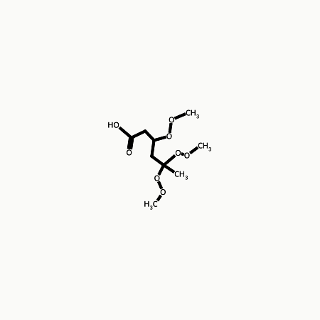 COOC(CC(=O)O)CC(C)(OOC)OOC